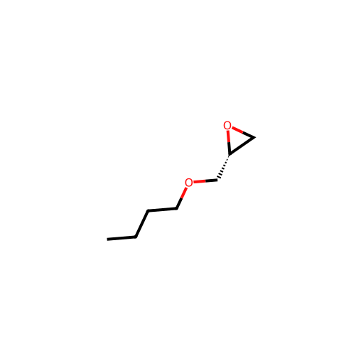 CCCCOC[C@H]1CO1